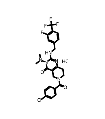 CN(C)n1c(NCc2ccc(C(F)(F)F)c(F)c2)nc2c(c1=O)CN(C(=O)c1ccc(Cl)cc1)CC2.Cl